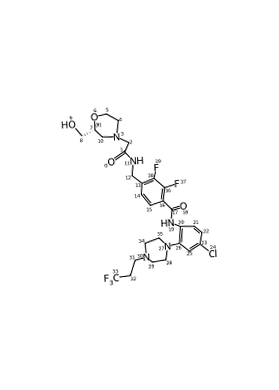 O=C(CN1CCO[C@@H](CO)C1)NCc1ccc(C(=O)Nc2ccc(Cl)cc2N2CCN(CCC(F)(F)F)CC2)c(F)c1F